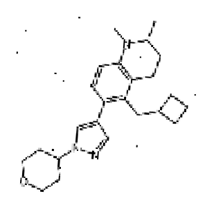 CC1CCc2c(ccc(-c3cnn(C4CCOCC4)c3)c2CC2CCC2)N1C